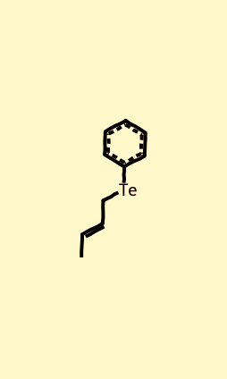 CC=CC[Te]c1ccccc1